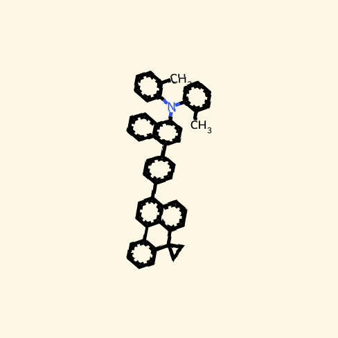 Cc1ccccc1N(c1ccccc1C)c1ccc(-c2ccc(-c3ccc4c5c(cccc35)C3(CC3)c3ccccc3-4)cc2)c2ccccc12